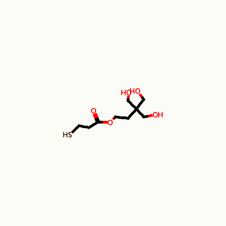 O=C(CCS)OCCC(CO)(CO)CO